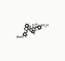 COc1ccc(CC2CCc3ccccc3C2N(Cc2ccccc2)C(=O)CNC(=O)Nc2cccc(C(=O)O)c2)cc1